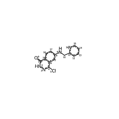 O=c1[nH]nc(Cl)c2cc(NCc3ccccn3)ccc12